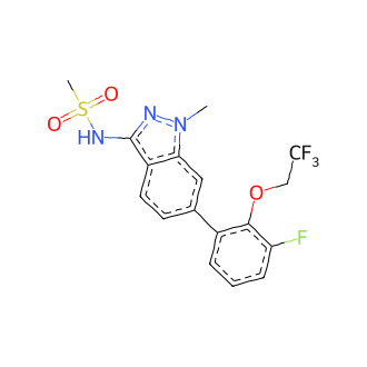 Cn1nc(NS(C)(=O)=O)c2ccc(-c3cccc(F)c3OCC(F)(F)F)cc21